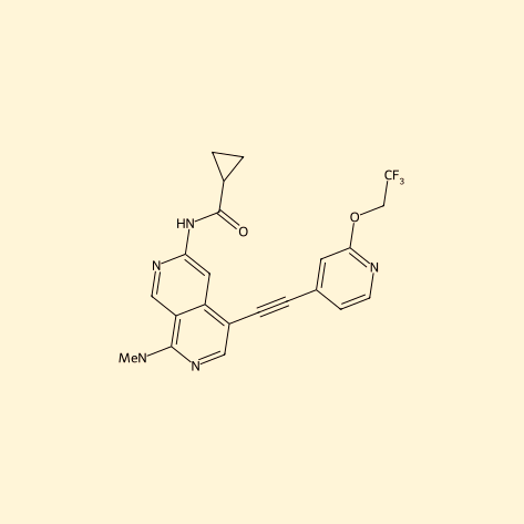 CNc1ncc(C#Cc2ccnc(OCC(F)(F)F)c2)c2cc(NC(=O)C3CC3)ncc12